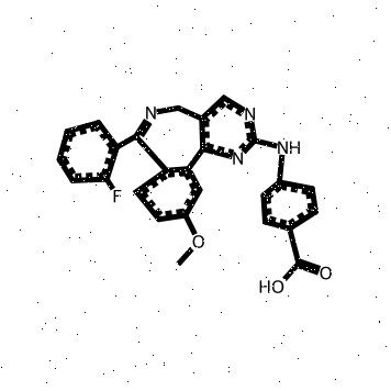 COc1ccc2c(c1)-c1nc(Nc3ccc(C(=O)O)cc3)ncc1CN=C2c1ccccc1F